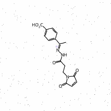 C/C(=N\NC(=O)CCN1C(=O)C=CC1=O)c1ccc(C(=O)O)cc1